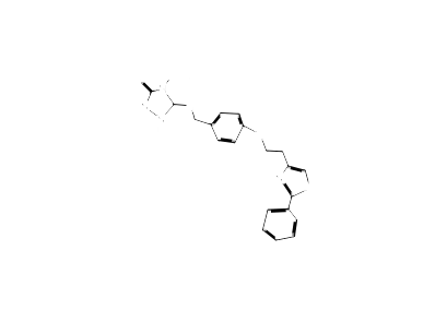 CN1C(=S)NNC1SCc1ccc(OCCc2coc(-c3ccccc3)n2)cc1